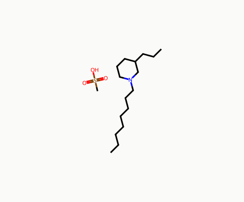 CCCCCCCCN1CCCC(CCC)C1.CS(=O)(=O)O